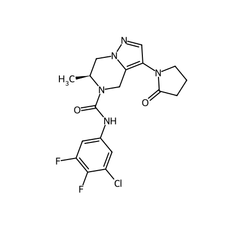 C[C@H]1Cn2ncc(N3CCCC3=O)c2CN1C(=O)Nc1cc(F)c(F)c(Cl)c1